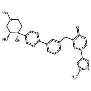 CCCCN1CC[C@@](O)(c2cnc(-c3cccc(Cc4nn(-c5cnn(C)c5)ccc4=O)c3)nc2)[C@@H](O)C1